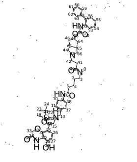 CN(CCCCC(=O)Nc1ccc(CNC[C@H](O[Si](C)(C)C(C)(C)C)c2ccc(O)c3c2OCC(=O)N3)cc1)C(=O)CCN1CC2CC(OC(=O)Nc3ccccc3-c3ccccc3)CC2C1